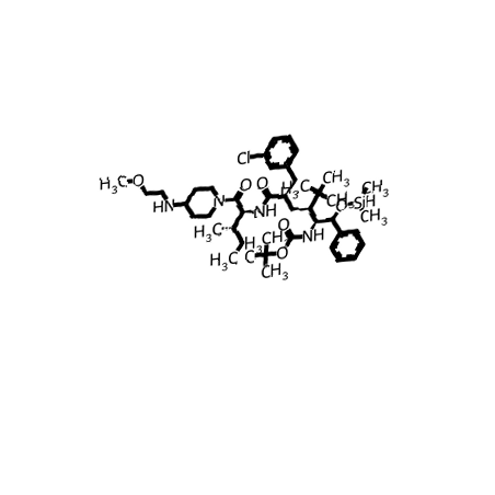 CC[C@H](C)[C@H](NC(=O)[C@@H](Cc1cccc(Cl)c1)C[C@H]([C@H](NC(=O)OC(C)(C)C)C(O[SiH](C)C)c1ccccc1)C(C)(C)C)C(=O)N1CCC(NCCOC)CC1